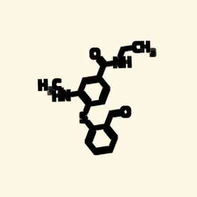 CCNC(=O)c1ccc(Sc2ccccc2C=O)c(NC)c1